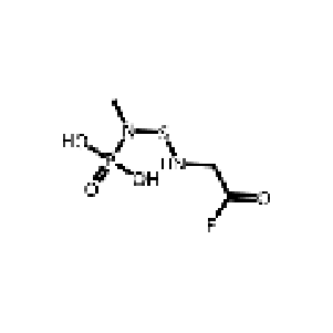 CN(SNCC(=O)F)P(=O)(O)O